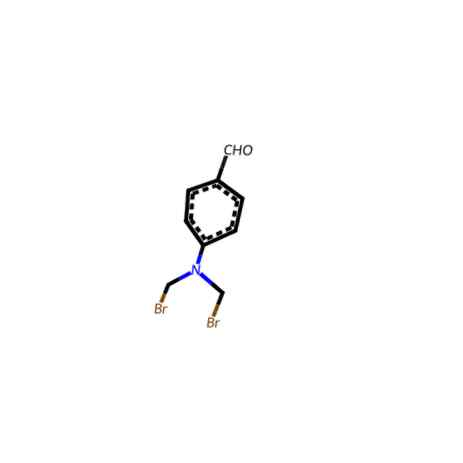 O=Cc1ccc(N(CBr)CBr)cc1